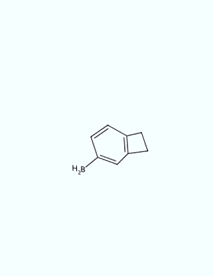 Bc1ccc2c(c1)CC2